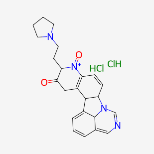 Cl.Cl.O=C1CC2=C(C=CC3C2C2=CC=CC4=CN=CN3C42)[N+](=O)C1CCN1CCCC1